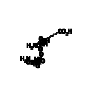 C[C@H](NC(=O)[C@@H](C)CSCC(N)=O)C(=O)NCCOCCOCC(=O)N[C@@H](CCCN)C(=O)NCCCCCCCCCCC(=O)O